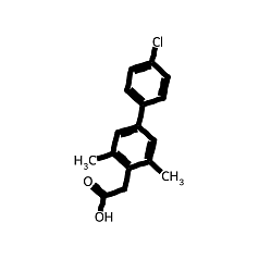 Cc1cc(-c2ccc(Cl)cc2)cc(C)c1CC(=O)O